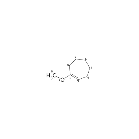 COC1=CCCCCC1